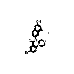 Cc1cc(O)nc2ccc(NC(=O)c3cc(Br)cnc3N3CCOCC3)cc12